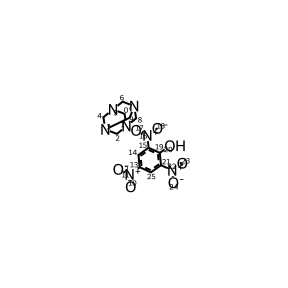 C1N2CN3CN1CN(C2)C3.O=[N+]([O-])c1cc([N+](=O)[O-])c(O)c([N+](=O)[O-])c1